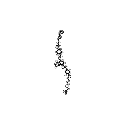 c1cc(OCCCCOCC2CO2)ccc1COc1ccc(OCc2ccc(OCCCCOCC3CO3)cc2)c2c1C1CCC2C1